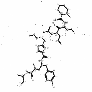 CCCO[C@H](C[C@H](C(C)C)N(CCC)C(=O)[C@@H](NC(=O)[C@H]1CCCCN1C)[C@@H](C)CC)c1nc(C(=O)NC(Cc2ccc(F)cc2)C[C@H](C)C(=O)OC(C)CN)cs1